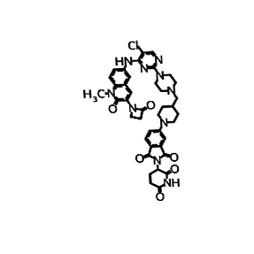 Cn1c(=O)c(N2CCC2=O)cc2cc(Nc3nc(N4CCN(CC5CCN(c6ccc7c(c6)C(=O)N(C6CCC(=O)NC6=O)C7=O)CC5)CC4)ncc3Cl)ccc21